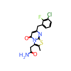 Cc1sc2nc(Cc3cccc(Cl)c3F)cc(=O)n2c1CC(N)=O